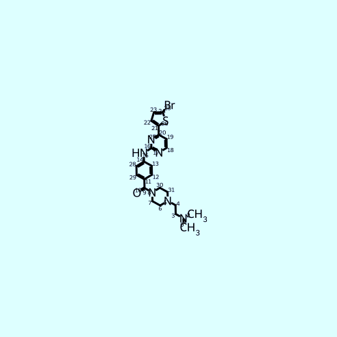 CN(C)CCN1CCN(C(=O)c2ccc(Nc3nccc(-c4ccc(Br)s4)n3)cc2)CC1